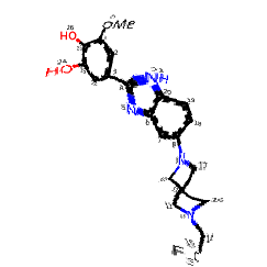 COc1cc(-c2nc3cc(N4CC5(CN(CC(F)(F)F)C5)C4)ccc3[nH]2)cc(O)c1O